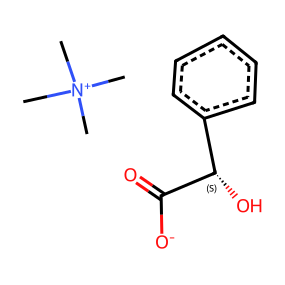 C[N+](C)(C)C.O=C([O-])[C@@H](O)c1ccccc1